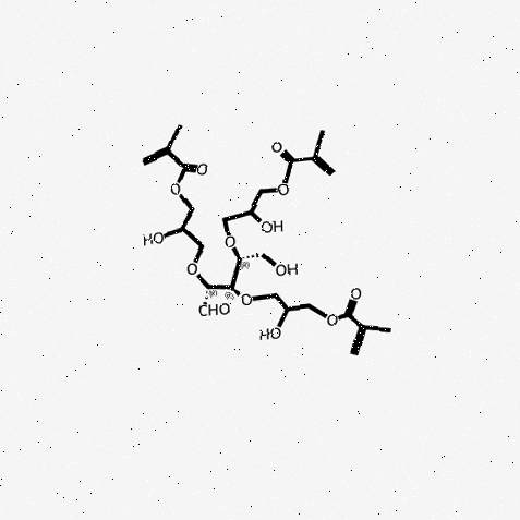 C=C(C)C(=O)OCC(O)CO[C@@H]([C@H](C=O)OCC(O)COC(=O)C(=C)C)[C@@H](CO)OCC(O)COC(=O)C(=C)C